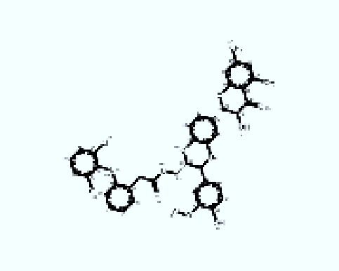 COc1cc(C2Oc3cc([C@@H]4Oc5cc(C)cc(O)c5C(=O)C4O)ccc3O[C@H]2COC(=O)Cc2ccccc2Nc2c(Cl)cccc2Cl)ccc1O